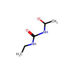 CCNC(=O)NC(C)[O]